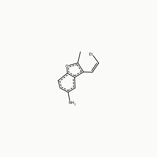 CC/C=C\c1c(C)oc2ccc(N)cc12